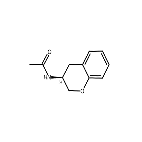 CC(=O)N[C@@H]1COc2ccccc2C1